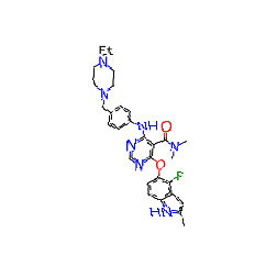 CCN1CCN(Cc2ccc(Nc3ncnc(Oc4ccc5[nH]c(C)cc5c4F)c3C(=O)N(C)C)cc2)CC1